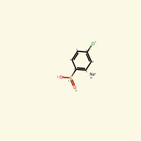 O=S([O-])c1ccc(Cl)cc1.[Na+]